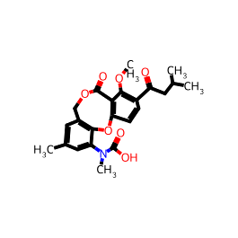 COc1c(C(=O)CC(C)C)ccc2c1C(=O)OCc1cc(C)cc(N(C)C(=O)O)c1O2